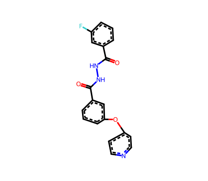 O=C(NNC(=O)c1cccc(Oc2ccncc2)c1)c1cccc(F)c1